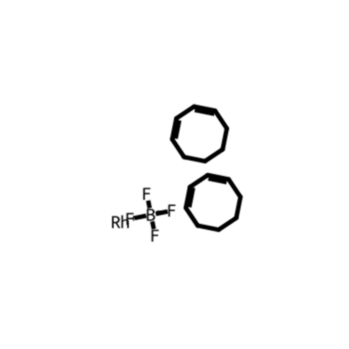 C1=C\CCCC\C=C/1.C1=C\CCCC\C=C/1.F[B-](F)(F)F.[Rh+]